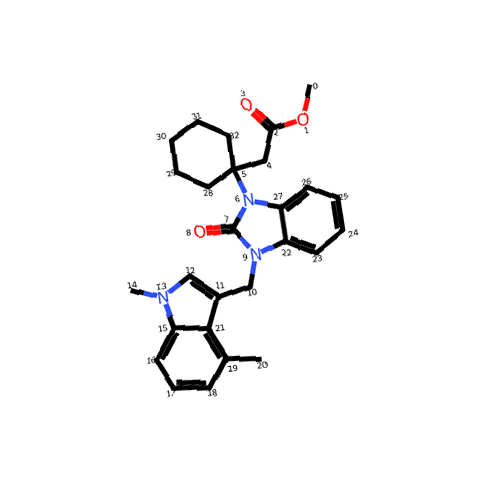 COC(=O)CC1(n2c(=O)n(Cc3cn(C)c4cccc(C)c34)c3ccccc32)CCCCC1